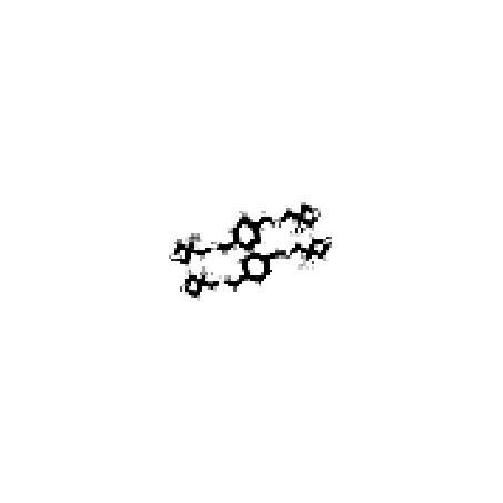 CCC1(COCC2CCC(COCC3(CC)COC3)CC2)COC1.CCC1(COCc2ccc(COCC3(CC)COC3)cc2)COC1